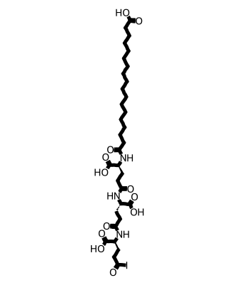 O=C(O)CCCCCCCCCCCCCCCCC(=O)N[C@@H](CCC(=O)N[C@@H](CCC(=O)N[C@@H](CCC(=O)I)C(=O)O)C(=O)O)C(=O)O